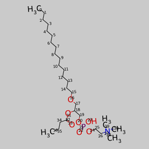 CCCCCCCCCCCCCCCCOCC(COP(=O)(O)OCC[N+](C)(C)C)OC(=O)CCC